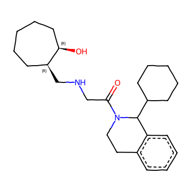 O=C(CNC[C@H]1CCCCC[C@H]1O)N1CCc2ccccc2C1C1CCCCC1